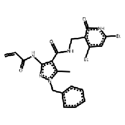 C=CC(=O)Nc1nn(Cc2ccccc2)c(C)c1C(=O)NCc1c(CC)cc(CC)[nH]c1=O